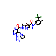 Cc1ccc(NC(=O)c2cnc(C(C)NC(=O)c3ncnc(N)c3CN3CCCC3)s2)cc1C(F)(F)F